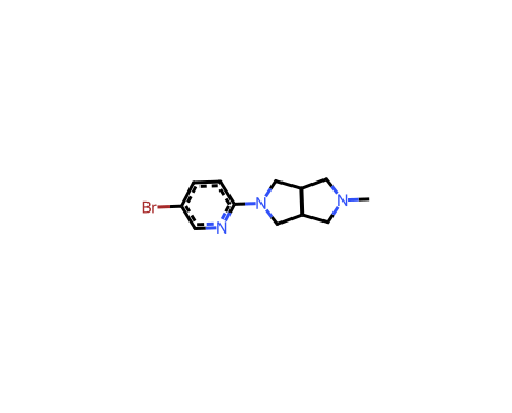 CN1CC2CN(c3ccc(Br)cn3)CC2C1